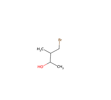 CC(O)C(C)CBr